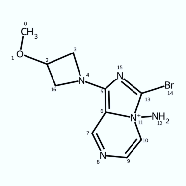 COC1CN(C2=C3C=NC=C[N+]3(N)C(Br)=N2)C1